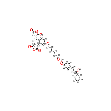 O=C1CC(C2CC3C(=O)OC(=O)C3c3cc(OCCCCCCOCOc4ccc(/C=C/C(=O)c5ccccc5)cc4)ccc32)C(=O)O1